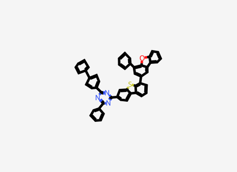 c1ccc(-c2ccc(-c3nc(-c4ccccc4)nc(-c4ccc5c(c4)sc4c(-c6cc(-c7ccccc7)c7oc8ccccc8c7c6)cccc45)n3)cc2)cc1